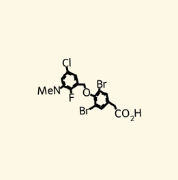 CNc1cc(Cl)cc(COc2c(Br)cc(CC(=O)O)cc2Br)c1F